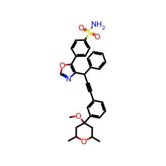 COC1(c2cccc(C#CC(c3ccccc3)c3ncoc3-c3ccc(S(N)(=O)=O)cc3)c2)CC(C)OC(C)C1